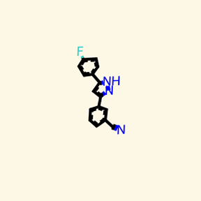 N#Cc1cccc(-c2cc(-c3ccc(F)cc3)[nH]n2)c1